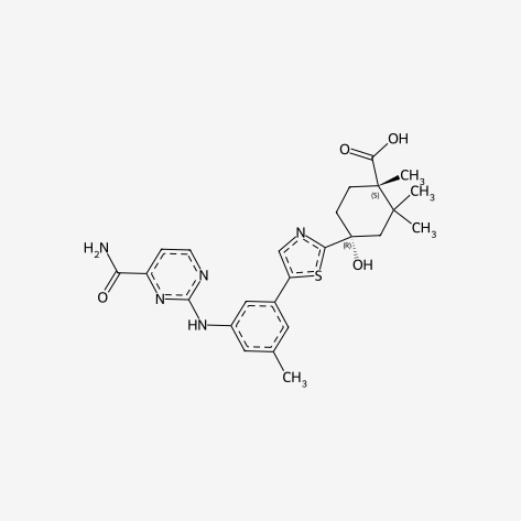 Cc1cc(Nc2nccc(C(N)=O)n2)cc(-c2cnc([C@@]3(O)CC[C@](C)(C(=O)O)C(C)(C)C3)s2)c1